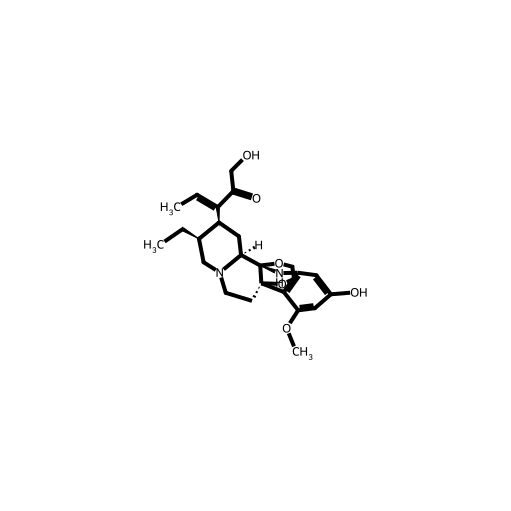 C/C=C(/C(=O)CO)[C@H]1C[C@@H]2N(CC[C@@]34OCCO[C@@]23Nc2cc(O)cc(OC)c24)C[C@H]1CC